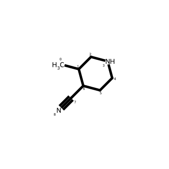 CC1CNCCC1C#N